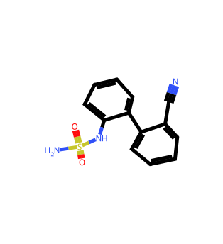 N#Cc1ccccc1-c1ccccc1NS(N)(=O)=O